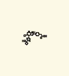 O=C(O)Cc1ccc(-c2cc3c(-c4cnc(C5(O)CCC5)s4)c(Cl)cnc3[nH]2)cc1